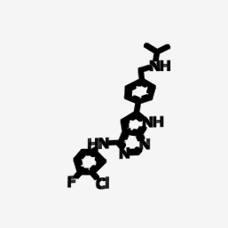 CC(C)NCc1ccc(-c2cc3c(Nc4ccc(F)c(Cl)c4)ncnc3[nH]2)cc1